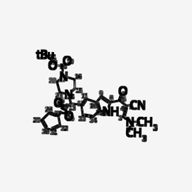 CN(C)C=C(C#N)C(=O)c1cc2cc(C(N3CCN(C(=O)OC(C)(C)C)CC3)S(=O)(=O)c3ccccc3)ccc2[nH]1